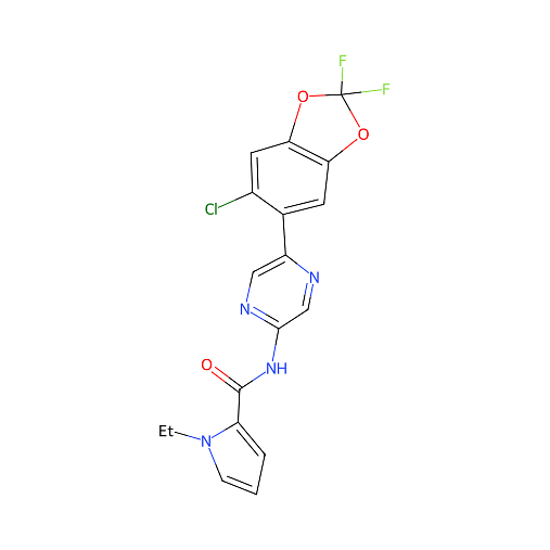 CCn1cccc1C(=O)Nc1cnc(-c2cc3c(cc2Cl)OC(F)(F)O3)cn1